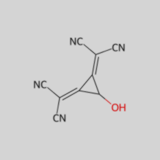 N#CC(C#N)=C1C(=C(C#N)C#N)C1O